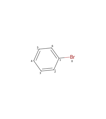 Brc1[c]cc[c]c1